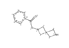 O=C(ON1CC2(CNC2)C1)c1ccccc1